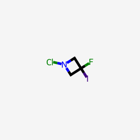 FC1(I)CN(Cl)C1